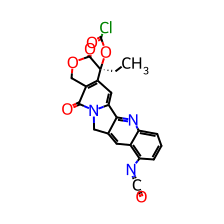 CC[C@@]1(OC(=O)Cl)C(=O)OCc2c1cc1n(c2=O)Cc2cc3c(N=C=O)cccc3nc2-1